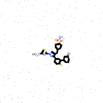 CCc1cccc(-c2cc(-c3nn(-c4nc(C(=O)O)cs4)cc3Cc3ccc(S(N)(=O)=O)cc3)ccc2F)c1